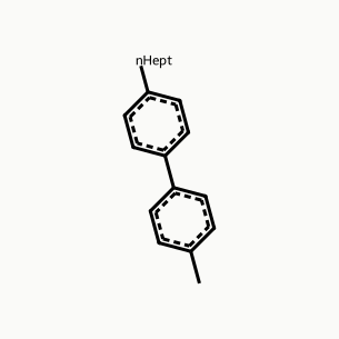 CCCCCCCc1ccc(-c2ccc(C)cc2)cc1